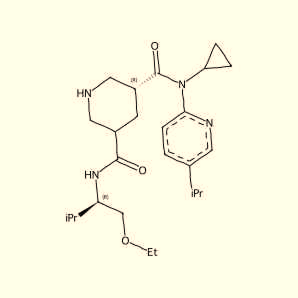 CCOC[C@H](NC(=O)C1CNC[C@H](C(=O)N(c2ccc(C(C)C)cn2)C2CC2)C1)C(C)C